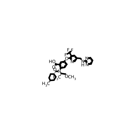 COC[C@H](C)N(c1ccc(Oc2ncc(CNc3ncccn3)cc2C(F)(F)F)cc1C(=O)O)C(=O)[C@H]1CC[C@H](C)CC1